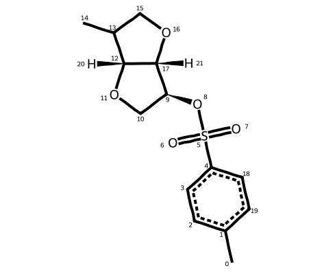 Cc1ccc(S(=O)(=O)O[C@H]2CO[C@@H]3C(C)CO[C@H]23)cc1